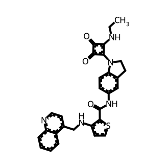 CCNc1c(N2CCc3cc(NC(=O)c4sccc4NCc4ccnc5ccccc45)ccc32)c(=O)c1=O